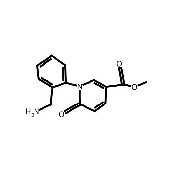 COC(=O)c1ccc(=O)n(-c2ccccc2CN)c1